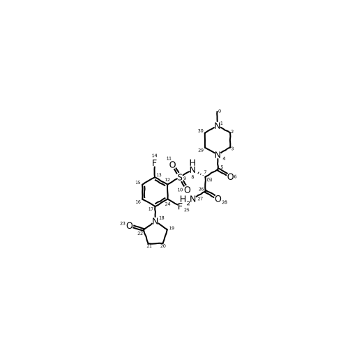 CN1CCN(C(=O)[C@@H](NS(=O)(=O)c2c(F)ccc(N3CCCC3=O)c2F)C(N)=O)CC1